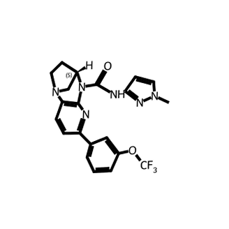 Cn1ccc(NC(=O)N2c3nc(-c4cccc(OC(F)(F)F)c4)ccc3N3CC[C@H]2C3)n1